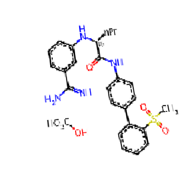 CCC[C@H](Nc1cccc(C(=N)N)c1)C(=O)Nc1ccc(-c2ccccc2S(C)(=O)=O)cc1.O=C(O)O